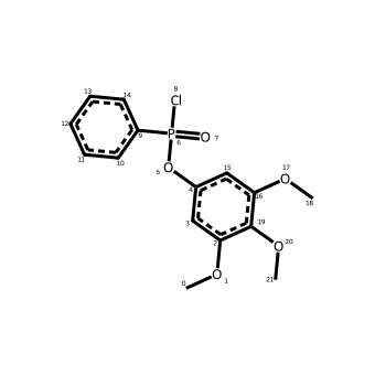 COc1cc(OP(=O)(Cl)c2ccccc2)cc(OC)c1OC